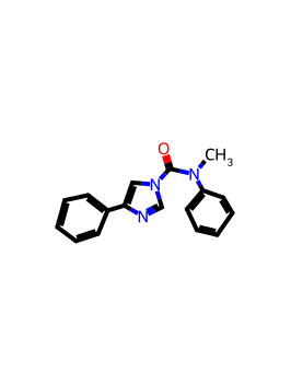 CN(C(=O)n1cnc(-c2ccccc2)c1)c1ccccc1